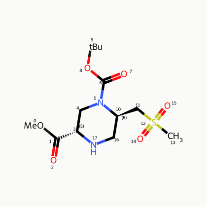 COC(=O)[C@@H]1CN(C(=O)OC(C)(C)C)[C@@H](CS(C)(=O)=O)CN1